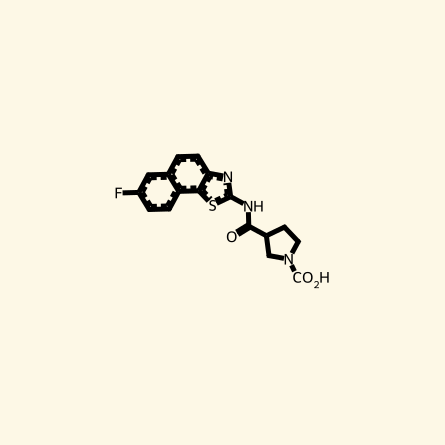 O=C(Nc1nc2ccc3cc(F)ccc3c2s1)C1CCN(C(=O)O)C1